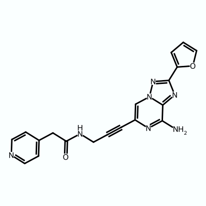 Nc1nc(C#CCNC(=O)Cc2ccncc2)cn2nc(-c3ccco3)nc12